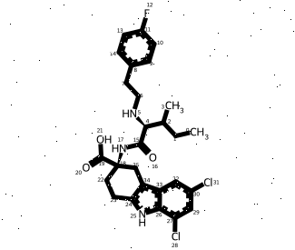 CCC(C)[C@H](NCCc1ccc(F)cc1)C(=O)N[C@]1(C(=O)O)CCc2[nH]c3c(Cl)cc(Cl)cc3c2C1